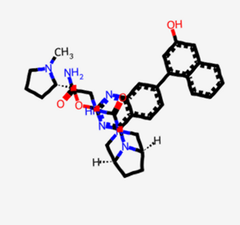 CN1CCC[C@H]1COc1nc(N2[C@@H]3CC[C@H]2CN(C(=O)NCC(N)=O)C3)c2ccc(-c3cc(O)cc4ccccc34)cc2n1